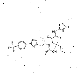 CCCC(C)(C)[C@@H](C(=O)C(=O)Nc1cc[nH]n1)N(C(=O)O)[C@@H](CC)Cn1ccc(-c2ccc(C(F)(F)F)cc2)n1